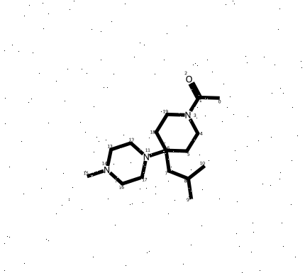 CC(=O)N1CCC(CC(C)C)(N2CCN(C)CC2)CC1